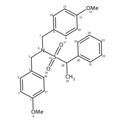 COc1ccc(CN(Cc2ccc(OC)cc2)S(=O)(=O)C(C)c2ccccc2)cc1